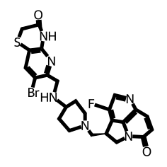 O=C1CSc2cc(Br)c(CNC3CCN(C[C@@H]4Cn5c(=O)ccc6ncc(F)c4c65)CC3)nc2N1